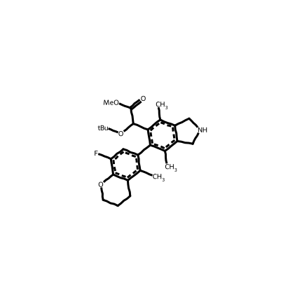 COC(=O)C(OC(C)(C)C)c1c(C)c2c(c(C)c1-c1cc(F)c3c(c1C)CCCO3)CNC2